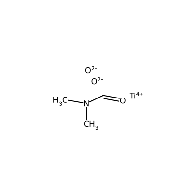 CN(C)C=O.[O-2].[O-2].[Ti+4]